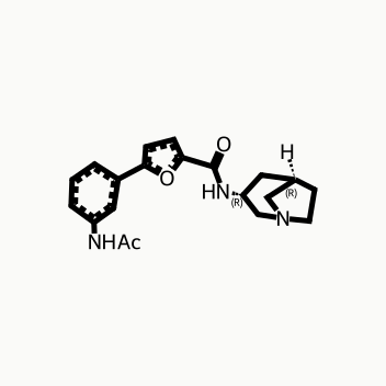 CC(=O)Nc1cccc(-c2ccc(C(=O)N[C@@H]3C[C@H]4CCN(C4)C3)o2)c1